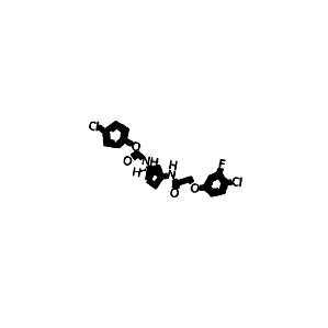 O=C(COc1ccc(Cl)c(F)c1)NC12CC(C1)[C@@H](NC(=O)Oc1ccc(Cl)cc1)C2